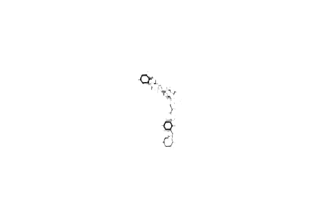 Cn1nc(NSc2nc3ccccc3s2)nc1NCCCOc1cccc(CN2CCCCC2)c1